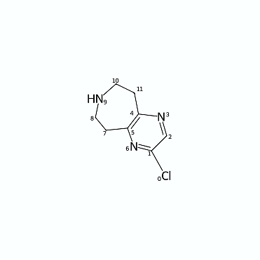 Clc1cnc2c(n1)CCNCC2